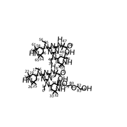 CCN(c1nc(NC(C)(C)C(=O)O)nc(N(CC)C2CC(C)(C)NC(C)(C)C2)n1)C1CC(C)(C)NC(C)(C)C1.CCN(c1nc(NC(C)(C)C(=O)O)nc(N(CC)C2CC(C)(C)NC(C)(C)C2)n1)C1CC(C)(C)NC(C)(C)C1.OCCOCCO